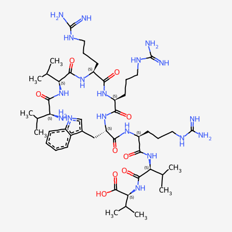 CC(C)[C@H](N)C(=O)N[C@H](C(=O)N[C@@H](CCCNC(=N)N)C(=O)N[C@@H](CCCNC(=N)N)C(=O)N[C@@H](Cc1c[nH]c2ccccc12)C(=O)N[C@@H](CCCNC(=N)N)C(=O)N[C@H](C(=O)N[C@H](C(=O)O)C(C)C)C(C)C)C(C)C